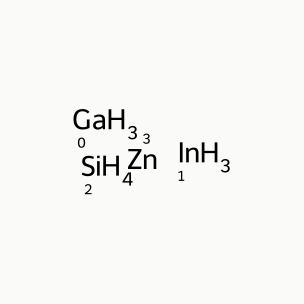 [GaH3].[InH3].[SiH4].[Zn]